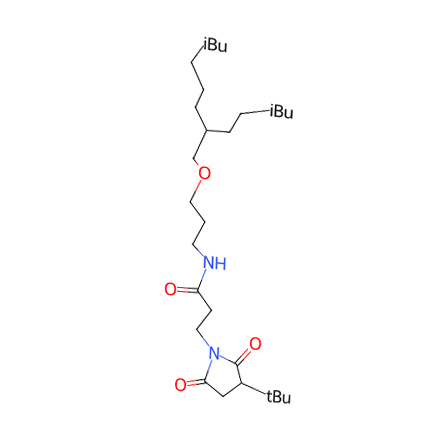 CCC(C)CCCC(CCC(C)CC)COCCCNC(=O)CCN1C(=O)CC(C(C)(C)C)C1=O